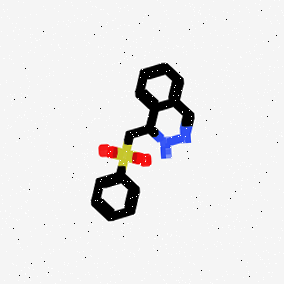 O=S(=O)(CC1NN=Cc2ccccc21)c1ccccc1